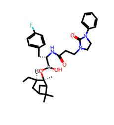 CC[C@@H]1CC2CC(C2(C)C)[C@]1(C)OB(O)[C@H](Cc1ccc(F)cc1)NC(=O)CCN1CCN(c2ccccc2)C1=O